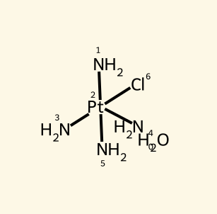 O.[NH2][Pt]([NH2])([NH2])([NH2])[Cl]